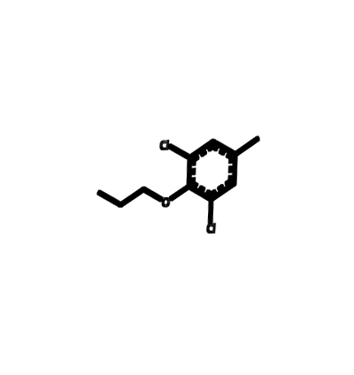 CCCOc1c(Cl)cc(C)cc1Cl